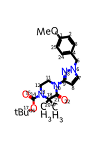 COc1ccc(Cn2ccc(N3CCN(C(=O)OC(C)(C)C)C(C)(C)C3=O)n2)cc1